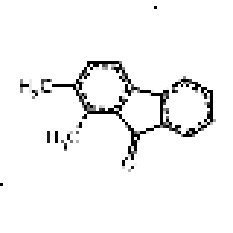 Cc1ccc2c(c1C)C(=O)c1ccccc1-2